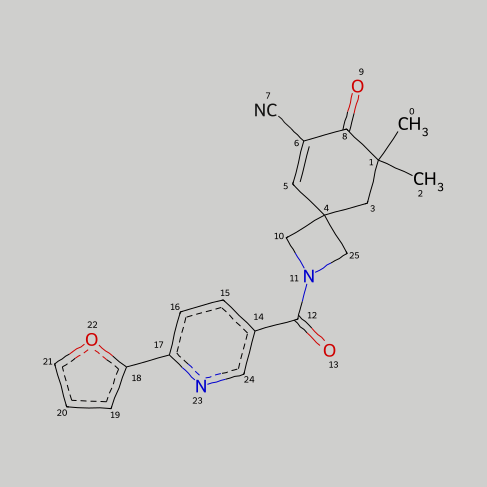 CC1(C)CC2(C=C(C#N)C1=O)CN(C(=O)c1ccc(-c3ccco3)nc1)C2